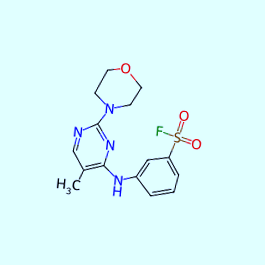 Cc1cnc(N2CCOCC2)nc1Nc1cccc(S(=O)(=O)F)c1